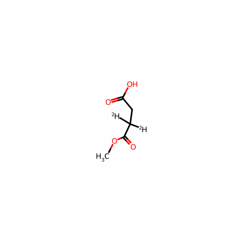 [2H]C([2H])(CC(=O)O)C(=O)OC